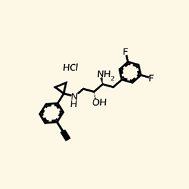 C#Cc1cccc(C2(NC[C@@H](O)[C@@H](N)Cc3cc(F)cc(F)c3)CC2)c1.Cl